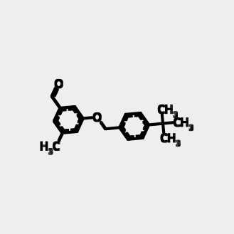 Cc1cc(C=O)cc(OCc2ccc(C(C)(C)C)cc2)c1